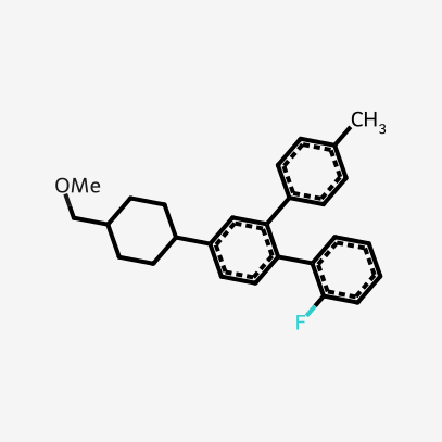 COCC1CCC(c2ccc(-c3ccccc3F)c(-c3ccc(C)cc3)c2)CC1